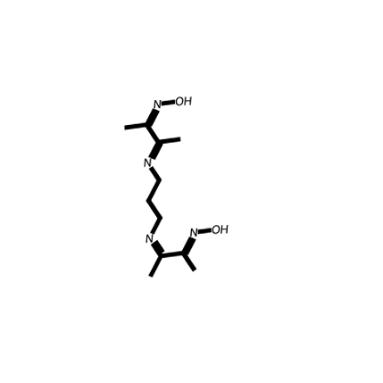 CC(=NO)C(C)=NCCCN=C(C)C(C)=NO